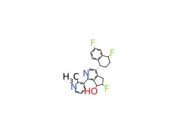 Cc1ncccc1-c1ncc([C@H]2CC[C@H](F)c3cc(F)ccc32)c2c1[C@H](O)[C@H](F)C2